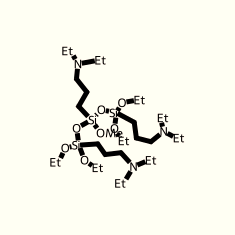 CCO[Si](CCCN(CC)CC)(OCC)O[Si](CCCN(CC)CC)(OC)O[Si](CCCN(CC)CC)(OCC)OCC